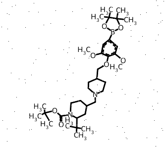 COc1cc(B2OC(C)(C)C(C)(C)O2)cc(OC)c1OCC1CCN(CC2CCN(C(=O)OC(C)(C)C)C(C(C)(C)C)C2)CC1